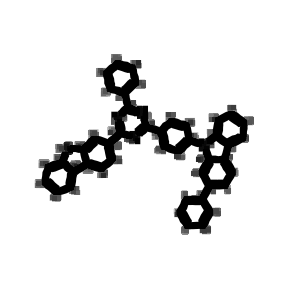 c1ccc(-c2ccc3c4ccccc4n(-c4ccc(-c5nc(-c6ccccc6)nc(-c6ccc7c(c6)sc6ccccc67)n5)cc4)c3c2)cc1